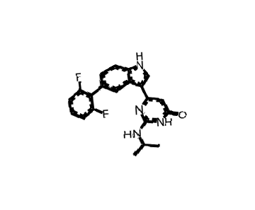 CC(C)Nc1nc(-c2c[nH]c3ccc(-c4c(F)cccc4F)cc23)cc(=O)[nH]1